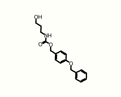 O=C(NCCCO)OCc1ccc(OCc2ccccc2)cc1